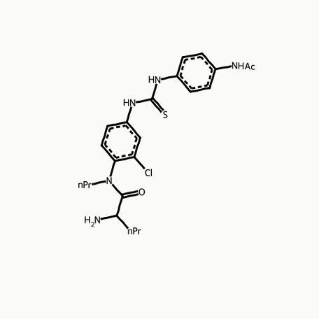 CCCC(N)C(=O)N(CCC)c1ccc(NC(=S)Nc2ccc(NC(C)=O)cc2)cc1Cl